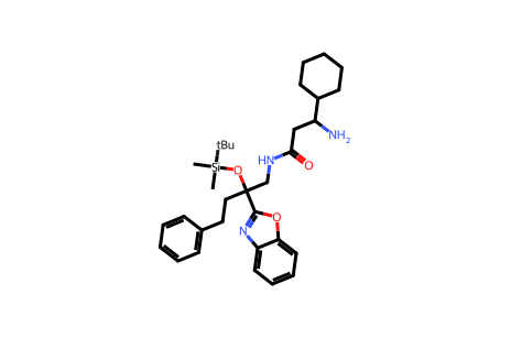 CC(C)(C)[Si](C)(C)OC(CCc1ccccc1)(CNC(=O)CC(N)C1CCCCC1)c1nc2ccccc2o1